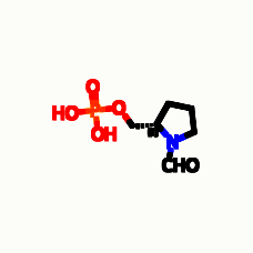 O=CN1CCC[C@H]1COP(=O)(O)O